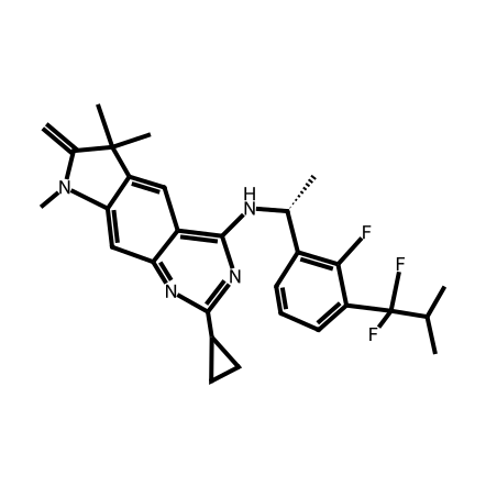 C=C1N(C)c2cc3nc(C4CC4)nc(N[C@H](C)c4cccc(C(F)(F)C(C)C)c4F)c3cc2C1(C)C